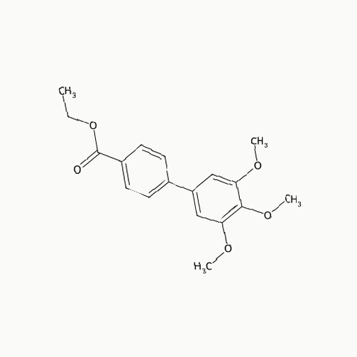 CCOC(=O)c1ccc(-c2cc(OC)c(OC)c(OC)c2)cc1